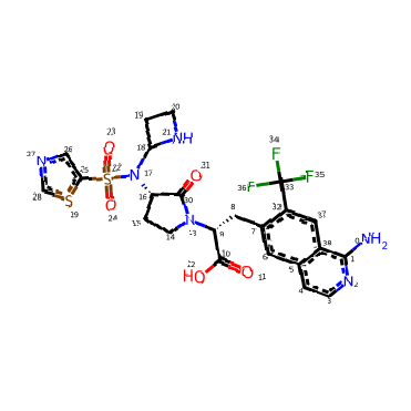 Nc1nccc2cc(C[C@H](C(=O)O)N3CC[C@H](N(C4CCN4)S(=O)(=O)c4cncs4)C3=O)c(C(F)(F)F)cc12